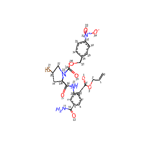 C=CCOC(=O)c1ccc(C(N)=O)cc1NC(=O)C1CC(S)CN1C(=O)OCc1ccc([N+](=O)[O-])cc1